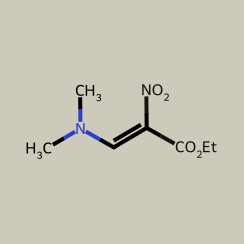 CCOC(=O)/C(=C/N(C)C)[N+](=O)[O-]